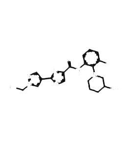 CC(C)Cn1cc(-c2nc(C(=O)Nc3cccc(F)c3N3CCCC(N)C3)cs2)cn1